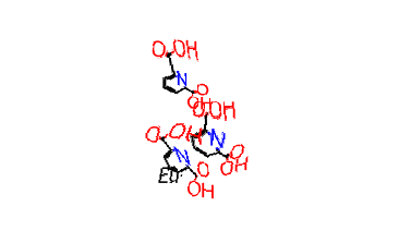 O=C(O)c1cccc(C(=O)O)n1.O=C(O)c1cccc(C(=O)O)n1.O=C(O)c1cccc(C(=O)O)n1.[Eu]